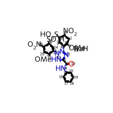 COc1cc([N+](=O)[O-])c(S(=O)(=O)O)cc1N1N=C(C(=O)Nc2ccccc2)NN1c1cc(S(=O)(=O)O)c([N+](=O)[O-])cc1OC.[NaH]